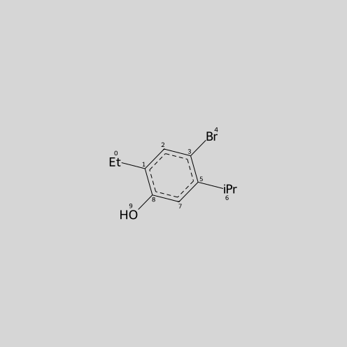 CCc1cc(Br)c(C(C)C)cc1O